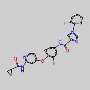 O=C(Nc1ccc(Oc2ccnc(NC(=O)C3CC3)c2)c(F)c1)c1cn(-c2ccccc2F)cn1